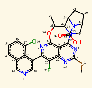 CSc1nc2c3c(nc(-c4cncc5cccc(Cl)c45)c(F)c3n1)OC(C)C1C3CCC(CN21)N3C(=O)O